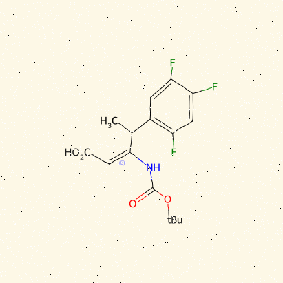 CC(/C(=C\C(=O)O)NC(=O)OC(C)(C)C)c1cc(F)c(F)cc1F